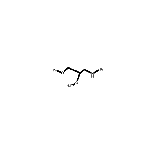 CC(C)NCC(COC(C)C)OP